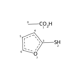 CC(=O)O.Sc1ccco1